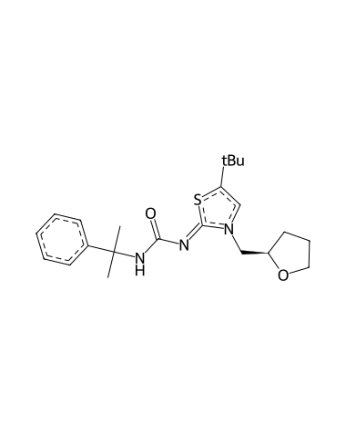 CC(C)(C)c1cn(C[C@H]2CCCO2)/c(=N/C(=O)NC(C)(C)c2ccccc2)s1